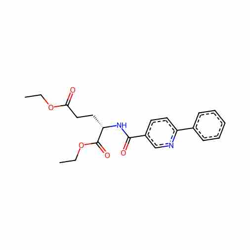 CCOC(=O)CC[C@H](NC(=O)c1ccc(-c2ccccc2)nc1)C(=O)OCC